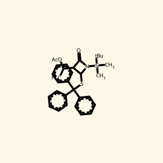 CC(=O)OC(C)C1C(=O)N([Si](C)(C)C(C)(C)C)C1SC(c1ccccc1)(c1ccccc1)c1ccccc1